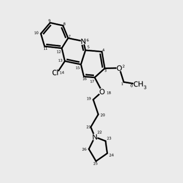 CCOc1cc2nc3ccccc3c(Cl)c2cc1OCCCN1CCCC1